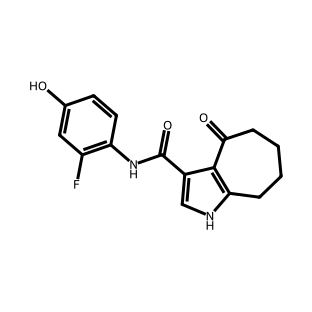 O=C(Nc1ccc(O)cc1F)c1c[nH]c2c1C(=O)CCCC2